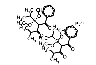 CO[Si](OC)(C(C)C)C(C(=O)c1ccccc1)C(=O)C(C)C.CO[Si](OC)(C(C)C)C(C(=O)c1ccccc1)C(=O)C(C)C.[Pt+2]